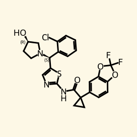 O=C(Nc1ncc([C@H](c2ccccc2Cl)N2CC[C@@H](O)C2)s1)C1(c2ccc3c(c2)OC(F)(F)O3)CC1